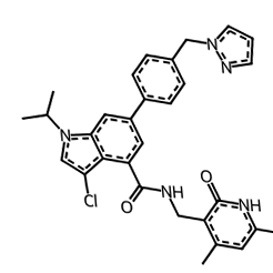 Cc1cc(C)c(CNC(=O)c2cc(-c3ccc(Cn4cccn4)cc3)cc3c2c(Cl)cn3C(C)C)c(=O)[nH]1